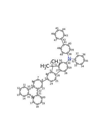 CC1(C)c2cc(-c3ccc4c5ccccc5c5ccccc5c4c3)ccc2-c2ccc(N(c3ccccc3)c3ccc(-c4ccccc4)cc3)cc21